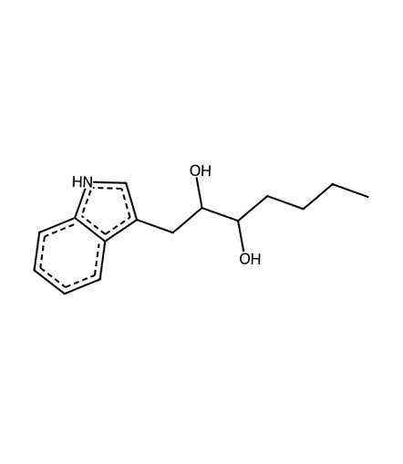 CCCCC(O)C(O)Cc1c[nH]c2ccccc12